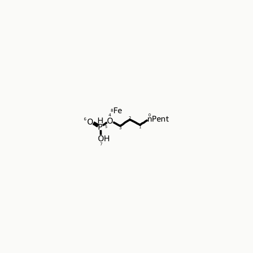 CCCCCCCCO[PH](=O)O.[Fe]